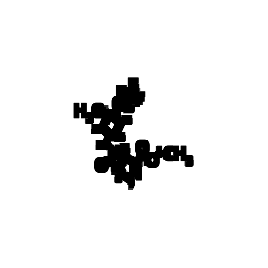 CCOC(=O)c1nccc2c1CN(Cc1ccc(OCC(F)(F)F)c(C)c1)C2=O